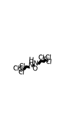 O=C(NCCC[Si](Cl)(Cl)Cl)NCCC[Si](Cl)(Cl)Cl